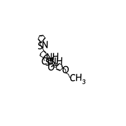 CCCCOc1ccc(C(=O)NC(=S)Nc2cc(-c3nc4ccccc4s3)ccc2C)cc1